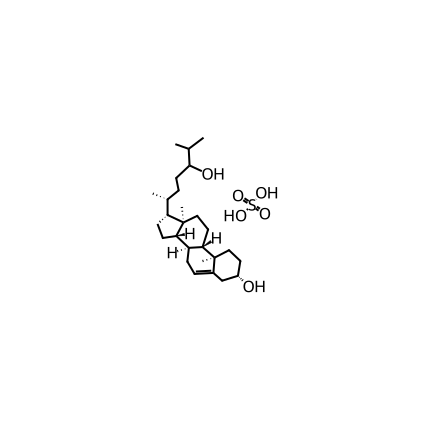 CC(C)C(O)CC[C@@H](C)[C@H]1CC[C@H]2[C@@H]3CC=C4C[C@@H](O)CC[C@]4(C)[C@H]3CC[C@]12C.O=S(=O)(O)O